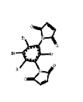 O=C1C=CC(=O)N1c1c(Br)c(Br)c(Br)c(N2C(=O)C=CC2=O)c1Br